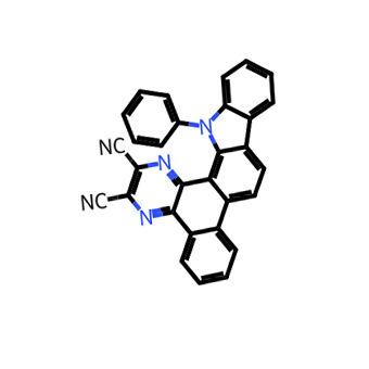 N#Cc1nc2c3ccccc3c3ccc4c5ccccc5n(-c5ccccc5)c4c3c2nc1C#N